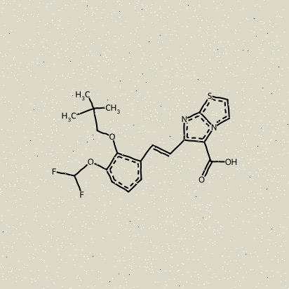 CC(C)(C)COc1c(C=Cc2nc3sccn3c2C(=O)O)cccc1OC(F)F